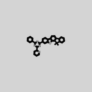 CC1(C)c2ccccc2-c2ccc3c(oc4cc(-c5nc(-c6ccccc6)nc(-c6ccccn6)n5)ccc43)c21